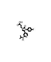 CC(C)Nc1cc(-c2cn(CCC(=O)O)c(=O)n2-c2ccc(F)cc2)ccn1